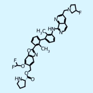 Cc1c(Nc2nccc3cc(CN4CCC(F)C4)cnc23)cccc1-c1cccc(-c2nc3cc(COC(=O)[C@@H]4CCCN4)c(OC(F)F)cc3o2)c1C